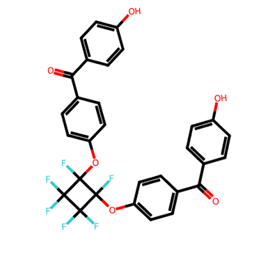 O=C(c1ccc(O)cc1)c1ccc(OC2(F)C(F)(F)C(F)(F)C2(F)Oc2ccc(C(=O)c3ccc(O)cc3)cc2)cc1